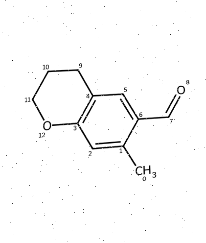 Cc1cc2c(cc1C=O)CCCO2